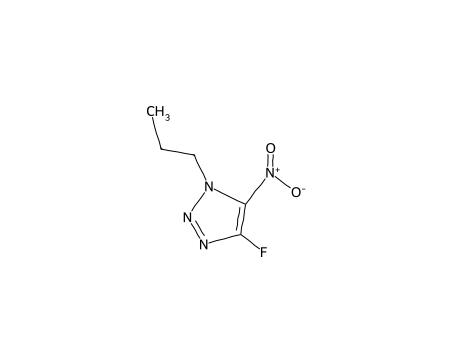 CCCn1nnc(F)c1[N+](=O)[O-]